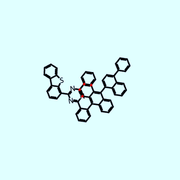 c1ccc(-c2nc(-c3ccccc3-c3c4ccccc4c(-c4ccc(-c5ccccc5)c5ccccc45)c4ccccc34)nc(-c3cccc4c3sc3ccccc34)n2)cc1